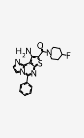 Nc1c(C(=O)N2CCC(F)CC2)sc2nc(-c3ccccc3)n3ccnc3c12